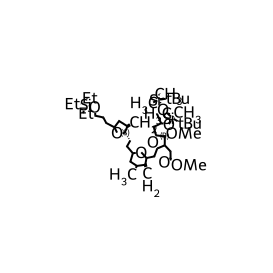 C=C1C(C)CC(CC[C@@H]2OC(CCCO[Si](CC)(CC)CC)CC2=C)OC1CC1OC(CC(CO[Si](C)(C)C(C)(C)C)O[Si](C)(C)C(C)(C)C)[C@H](OC)C1CC(=O)OC